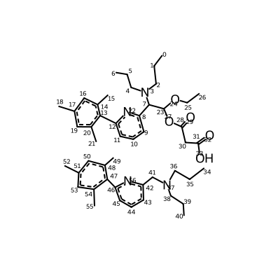 CCCN(CCC)C(c1cccc(-c2c(C)cc(C)cc2C)n1)C(OCC)OC(=O)CC(=O)O.CCCN(CCC)Cc1cccc(-c2c(C)cc(C)cc2C)n1